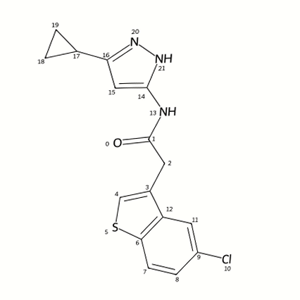 O=C(Cc1csc2ccc(Cl)cc12)Nc1cc(C2CC2)n[nH]1